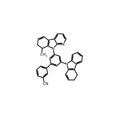 CC1CC=Cc2c1n(-c1cc(-c3cccc(C#N)c3)cc(-n3c4c(c5ccccc53)CCC=C4)c1)c1ncccc21